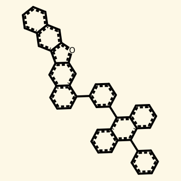 c1ccc(-c2c3ccccc3c(-c3cccc(-c4cccc5cc6c(cc45)oc4cc5ccccc5cc46)c3)c3ccccc23)cc1